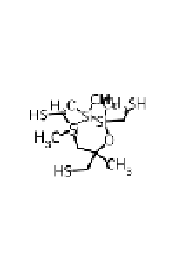 CC1(CS)C[Si](C)(CS)[Si](C)(C)[Si](C)(CS)O1